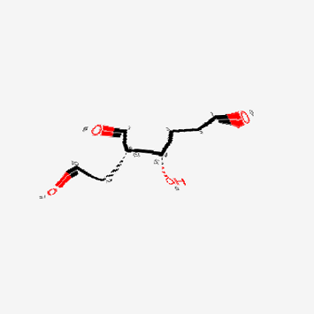 O=CCC[C@H](O)[C@@H](C=O)CC=O